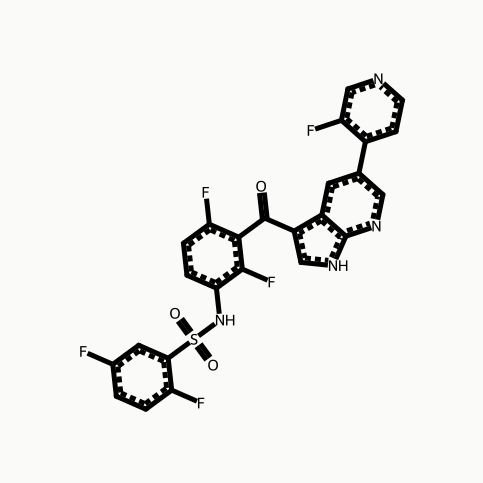 O=C(c1c(F)ccc(NS(=O)(=O)c2cc(F)ccc2F)c1F)c1c[nH]c2ncc(-c3ccncc3F)cc12